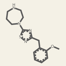 COc1ccccc1Cc1nsc(N2CCCNCC2)n1